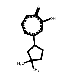 CC1(C)CC[C@H](c2cccc(=O)c(O)c2)C1